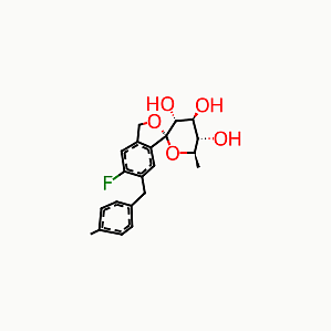 Cc1ccc(Cc2cc3c(cc2F)CO[C@]32O[C@H](C)[C@@H](O)[C@H](O)[C@H]2O)cc1